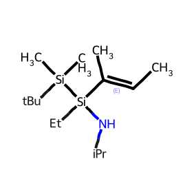 C/C=C(\C)[Si](CC)(NC(C)C)[Si](C)(C)C(C)(C)C